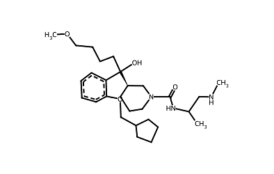 CNCC(C)NC(=O)N1CCC[C@@H](C(O)(CCCCOC)c2ccccc2OCC2CCCC2)C1